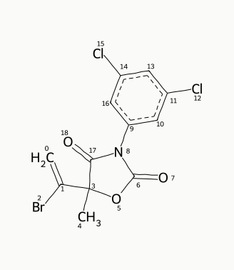 C=C(Br)C1(C)OC(=O)N(c2cc(Cl)cc(Cl)c2)C1=O